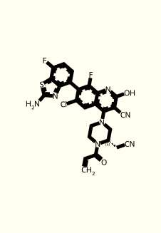 C=CC(=O)N1CCN(c2c(C#N)c(O)nc3c(F)c(-c4ccc(F)c5sc(N)nc45)c(Cl)cc23)C[C@@H]1CC#N